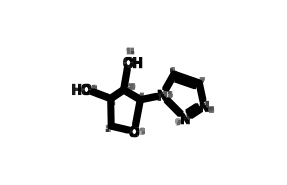 OC1COC(n2ccnn2)C1O